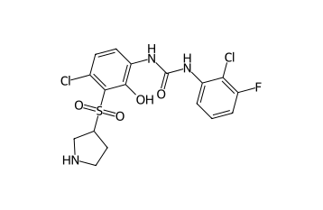 O=C(Nc1ccc(Cl)c(S(=O)(=O)C2CCNC2)c1O)Nc1cccc(F)c1Cl